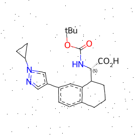 CC(C)(C)OC(=O)N[C@H](C(=O)O)C1CCCc2ccc(-c3cnn(C4CC4)c3)cc21